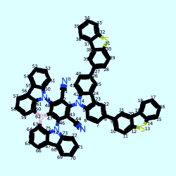 N#Cc1c(-n2c3ccc(-c4ccc5sc6ccccc6c5c4)cc3c3cc(-c4ccc5sc6ccccc6c5c4)ccc32)c(C#N)c2c3c1-n1c4ccccc4c4cccc(c41)B3c1cccc3c4ccccc4n-2c13